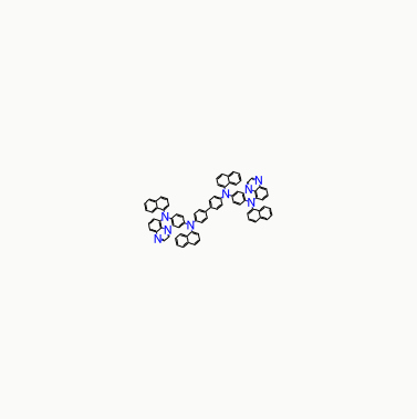 c1ccc2c(N(c3ccc(-c4ccc(N(c5ccc(N(c6cccc7ccccc67)c6cccc7nccnc67)cc5)c5cccc6ccccc56)cc4)cc3)c3ccc(N(c4cccc5ccccc45)c4cccc5nccnc45)cc3)cccc2c1